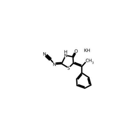 CC(=C1SC(=NC#N)NC1=O)c1ccccc1.[KH]